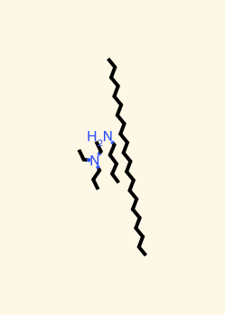 CCCCCCCCCCCCCCCCCCCCCC.CCCCCN.CCCN(CC)CC